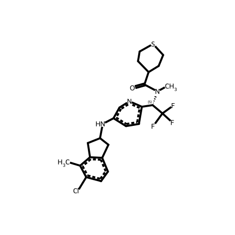 Cc1c(Cl)ccc2c1CC(Nc1ccc([C@H](N(C)C(=O)C3CCSCC3)C(F)(F)F)nc1)C2